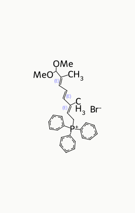 COC(OC)/C(C)=C/C=C/C(C)=C/C[P+](c1ccccc1)(c1ccccc1)c1ccccc1.[Br-]